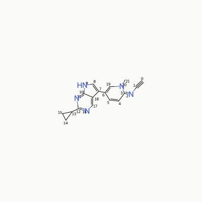 C#C/N=c1/ccc(-c2c[nH]c3nc(C4CC4)ncc23)cn1C